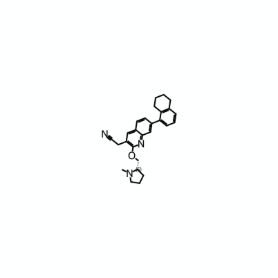 CN1CCC[C@H]1COc1nc2cc(-c3cccc4c3CCCC4)ccc2cc1CC#N